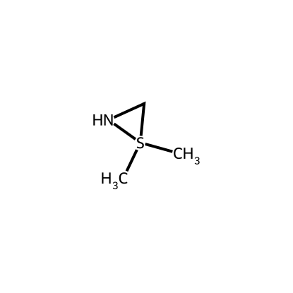 CS1(C)CN1